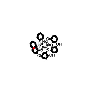 Oc1ccccc1ON1P(Oc2ccccc2)N=P(Oc2ccccc2)(Oc2ccccc2)N(Oc2ccccc2O)P1Oc1ccccc1O